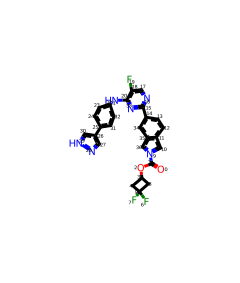 O=C(OC1CC(F)(F)C1)n1cc2ccc(-c3ncc(F)c(Nc4ccc(-c5cn[nH]c5)cc4)n3)cc2c1